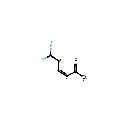 C=C(/C=C\CC(F)F)CC